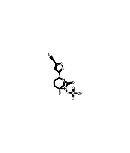 N#Cc1cc([C@@H]2CC[C@@H]3CN2C(=O)N3OS(=O)(=O)O)no1